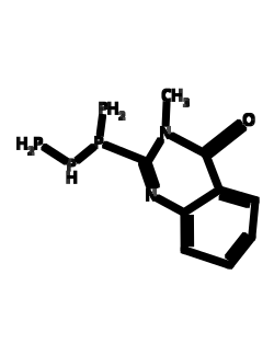 Cn1c(P(P)PP)nc2ccccc2c1=O